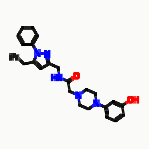 CC(C)Cc1cc(CNC(=O)CN2CCN(c3cccc(O)c3)CC2)nn1-c1ccccc1